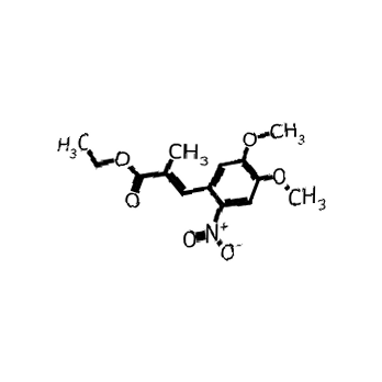 CCOC(=O)/C(C)=C/c1cc(OC)c(OC)cc1[N+](=O)[O-]